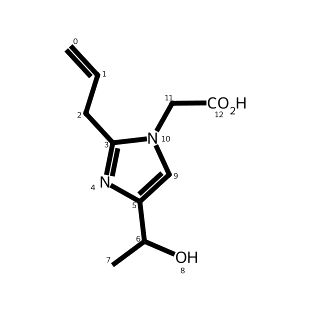 C=CCc1nc(C(C)O)cn1CC(=O)O